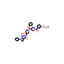 O=C(O)c1cccc(C(=O)N2CC[C@@H](C(=O)N3CCC(O)(Cn4cnc5c(ccn5-c5ccccc5)c4=O)CC3)[C@H](c3ccccc3)C2)c1